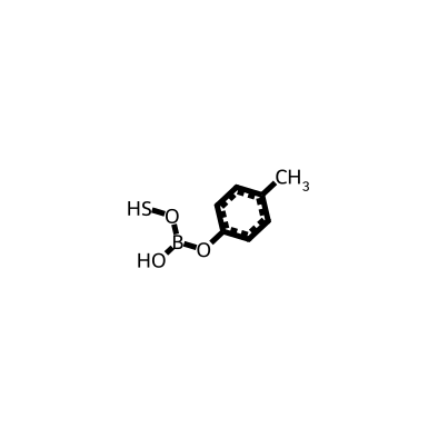 Cc1ccc(OB(O)OS)cc1